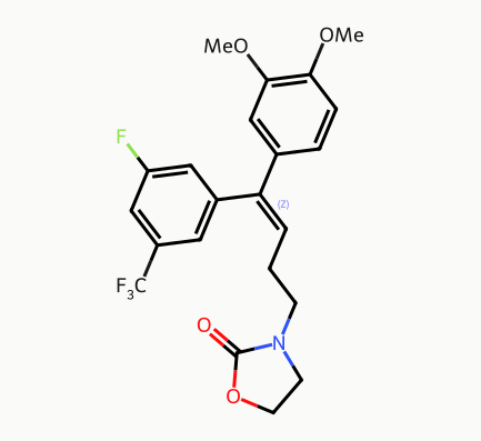 COc1ccc(/C(=C/CCN2CCOC2=O)c2cc(F)cc(C(F)(F)F)c2)cc1OC